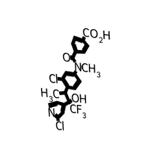 CC(c1ccc(N(C)C(=O)c2ccc(C(=O)O)cc2)cc1Cl)C(O)(c1ccnc(Cl)c1)C(F)(F)F